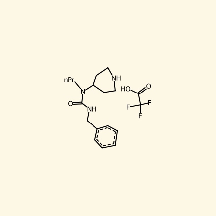 CCCN(C(=O)NCc1ccccc1)C1CCNCC1.O=C(O)C(F)(F)F